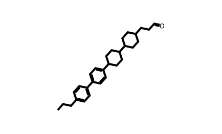 CCCc1ccc(-c2ccc(C3CCC(C4CCC(CCC=O)CC4)CC3)cc2)cc1